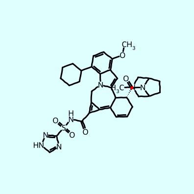 COc1ccc(C2CCCCC2)c2c1cc1n2CC2=C(C(=O)NS(=O)(=O)c3nc[nH]n3)C2=C2C=CC[C@@H](C(=O)N3C4CCC3CN(C)C4)C21